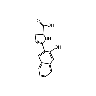 O=C(O)C1CN=C(c2cc3ccccc3cc2O)N1